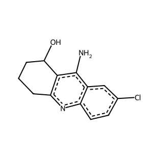 Nc1c2c(nc3ccc(Cl)cc13)CCCC2O